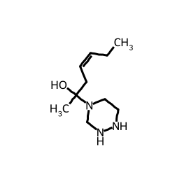 CC/C=C\CC(C)(O)N1CCNNC1